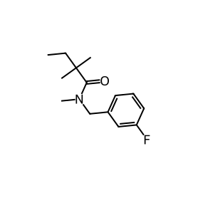 CCC(C)(C)C(=O)N(C)Cc1cccc(F)c1